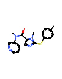 Cc1ccc(Sc2ncc(C(=O)N(C)c3cccnc3)n2C)cc1